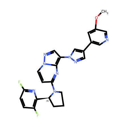 COc1cncc(-c2cnn(-c3cnn4ccc(N5CCC[C@H]5c5nc(F)ccc5F)nc34)c2)c1